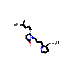 CCCC/C(C)=C/C=C\[C@H]1CCC(=O)N1CCCc1ncccc1C(=O)O